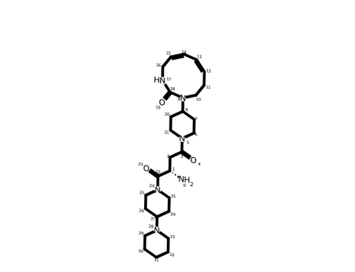 N[C@@H](CC(=O)N1CCC(N2CC/C=C\C=C/CNC2=O)CC1)C(=O)N1CCC(N2CCCCC2)CC1